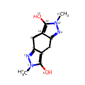 Cn1nc2c(c1O)Cc1nn(C)c(O)c1C2